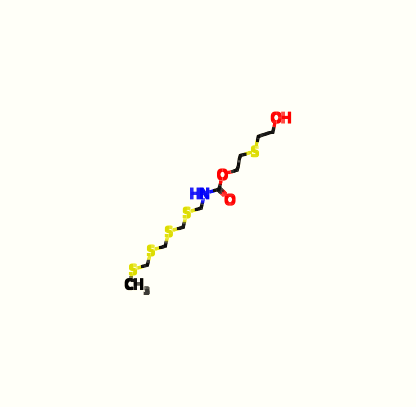 CSCSCSCSCNC(=O)OCCSCCO